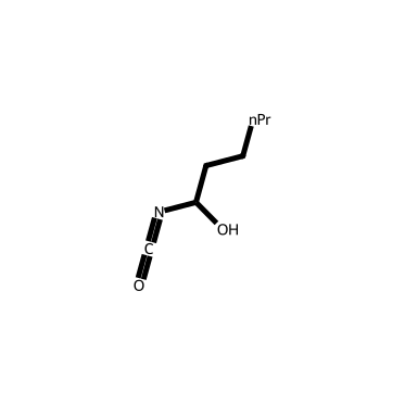 CCCCCC(O)N=C=O